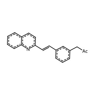 CC(=O)Cc1cccc(/C=C/c2ccc3ccccc3n2)c1